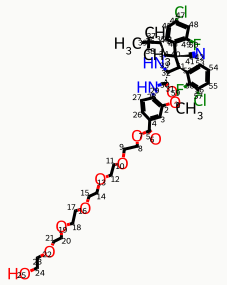 COc1cc(C(=O)OCCOCCOCCOCCOCCOCCO)ccc1NC(=O)[C@@H]1N[C@@H](CC(C)(C)C)[C@](C#N)(c2ccc(Cl)cc2F)[C@H]1c1cccc(Cl)c1F